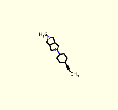 CC#CC1CCC(N2CC3CN(C)CC3C2)CC1